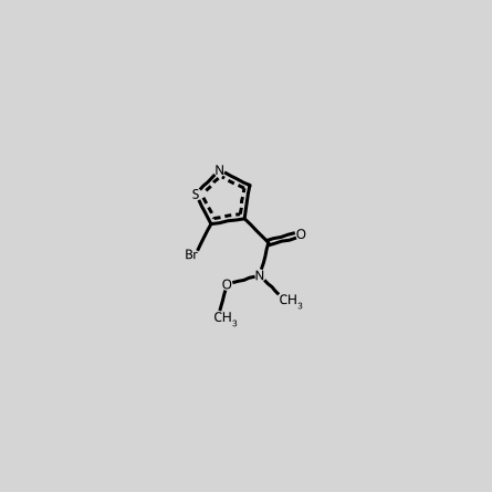 CON(C)C(=O)c1cnsc1Br